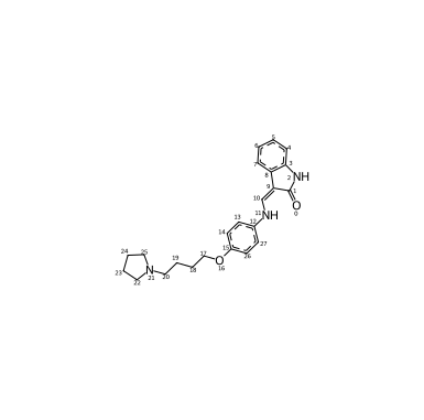 O=C1Nc2ccccc2C1=CNc1ccc(OCCCCN2CCCC2)cc1